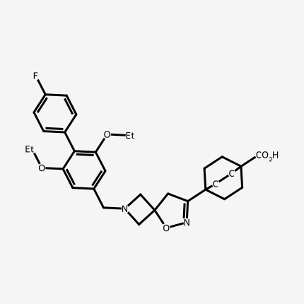 CCOc1cc(CN2CC3(CC(C45CCC(C(=O)O)(CC4)CC5)=NO3)C2)cc(OCC)c1-c1ccc(F)cc1